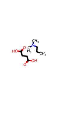 CCCN(C)C.O=C(O)CCC(=O)O